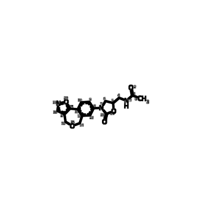 CC(=O)NCC1CN(c2ccc3c(c2)COCc2cnoc2-3)C(=O)O1